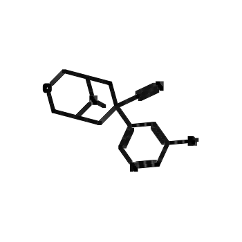 CN1C2COCC1CC(C#N)(c1cncc(Br)c1)C2